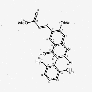 CCc1nc2cc(OC)c(C=CC(=O)OC)cc2c(=O)n1-c1c(C)cccc1C